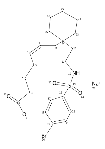 O=C([O-])CCC/C=C\CC1(CCNS(=O)(=O)c2ccc(Br)cc2)CCCCC1.[Na+]